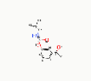 CC(=O)c1cccc(OC(=O)NCC(C)C)c1